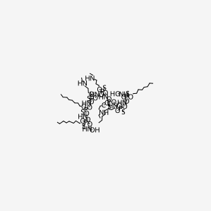 CCCCCCCCOP(=S)(ONO)ONOP(=S)(OCCCCCCCC)ONOP(=S)(OCCCNCC)ONOP(=S)(OCCCNCC)ONOP(=S)(OCCCNCC)ONOP(=S)(OCCCCCCCC)ONOP(=S)(OCCCCCCCC)ONO